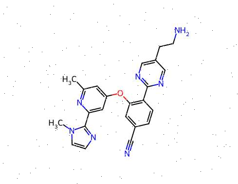 Cc1cc(Oc2cc(C#N)ccc2-c2ncc(CCN)cn2)cc(-c2nccn2C)n1